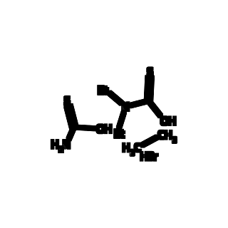 Br.CC.CCN(CC)C(O)=S.NC(O)=S